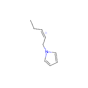 CC/C=C\Cn1cccc1